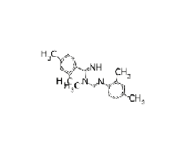 Cc1ccc(N=CN(C)C(=N)c2ccc(C)cc2C)c(C)c1